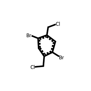 ClCc1cc(Br)c(CCl)cc1Br